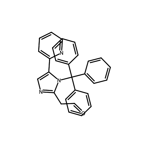 O=CCc1ncc(-c2ccccn2)n1C(c1ccccc1)(c1ccccc1)c1ccccc1